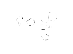 Cc1ncn(C)c1-c1ccc(NC(=O)[C@@H](NC(=O)c2ccnn2C)C2CCCCCC2)cc1